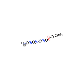 CCCCC1CCC(C2CCC(C(=O)Oc3ccc(N=Nc4ccc(N=Nc5ccc(N=Nc6ccc(N(CC)CC)cc6)cc5C)cc4)cc3)CC2)CC1